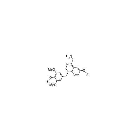 CCOc1ccc2c(Cc3cc(OC)c(OCC)c(OC)c3)cnc(CN)c2c1